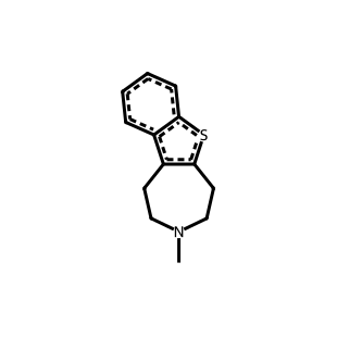 CN1CCc2sc3ccccc3c2CC1